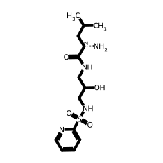 CC(C)C[C@H](N)C(=O)NCC(O)CNS(=O)(=O)c1ccccn1